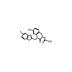 O=C(O)CC1Cc2ccc(Cl)cc2N(Cc2nc3cc(F)ccc3s2)C1=O